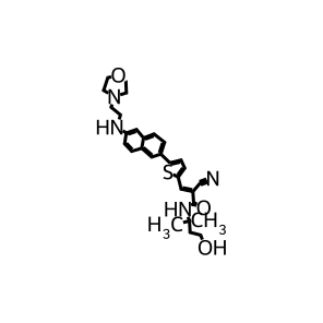 CC(C)(CCO)NC(=O)/C(C#N)=C/c1ccc(-c2ccc3cc(NCCN4CCOCC4)ccc3c2)s1